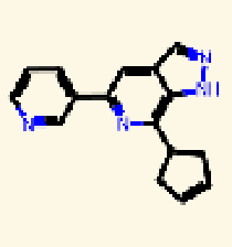 C1=CCC(c2nc(-c3cccnc3)cc3cn[nH]c23)C1